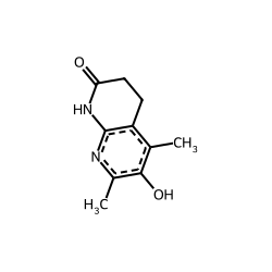 Cc1nc2c(c(C)c1O)CCC(=O)N2